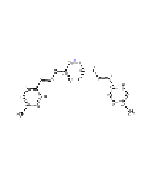 Nc1ccc(C=COC(=O)/C=C\C(=O)OC=Cc2ccc(N)cc2)cc1